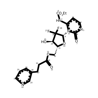 CCOC(=O)Nc1ccnc(=O)n1[C@@H]1O[C@H](COC(=O)CCc2cccnc2)[C@@H](O)C1(F)F